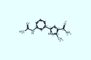 CC(=O)Nc1cccc(-c2cc(C(N)=O)c(C)[nH]2)c1